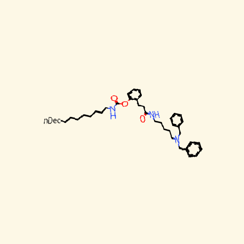 CCCCCCCCCCCCCCCCCCNC(=O)Oc1ccccc1CCC(=O)NCCCCCN(Cc1ccccc1)Cc1ccccc1